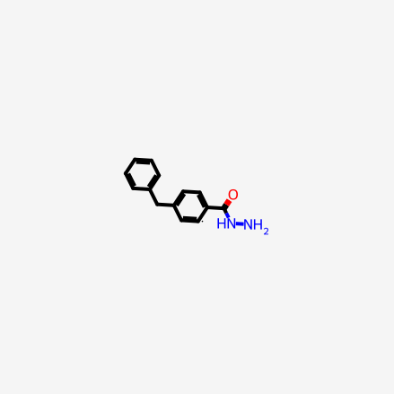 NNC(=O)c1[c]cc(Cc2ccccc2)cc1